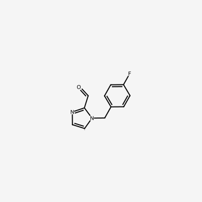 O=Cc1nc[c]n1Cc1ccc(F)cc1